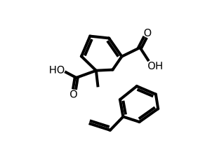 C=Cc1ccccc1.CC1(C(=O)O)C=CC=C(C(=O)O)C1